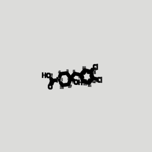 O=C(O)N1CCC(O)(Cc2ccc(Cl)c(Cl)c2)CC1